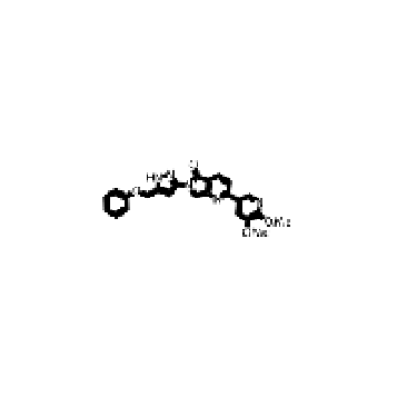 COc1cc(-c2ccc3c(n2)CN(c2cc(COc4ccccc4)[nH]n2)C3=O)cnc1OC